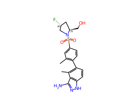 Cc1cc(S(=O)(=O)N2C[C@H](F)C[C@H]2CO)ccc1-c1ccc2[nH]nc(N)c2c1C